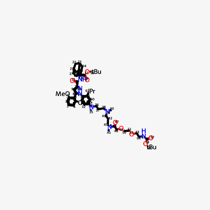 COc1cccc(OC)c1-c1cc(C(=O)NC2(C(=O)OC(C)(C)C)C3CC4CC(C3)CC2C4)nn1-c1ccc(N(C)CCCN(C)CCCN(C)C(=O)COCCOCCNC(=O)OC(C)(C)C)cc1C(C)C